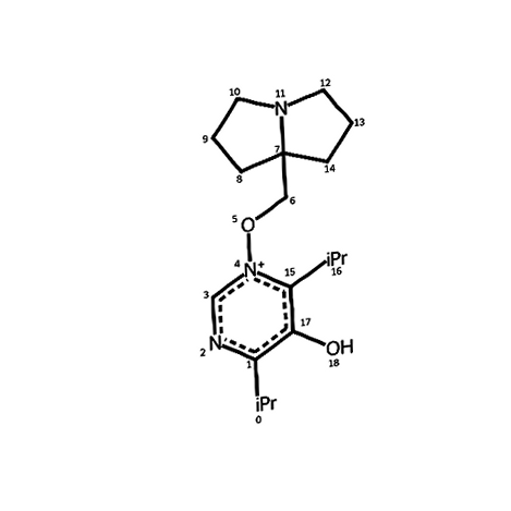 CC(C)c1nc[n+](OCC23CCCN2CCC3)c(C(C)C)c1O